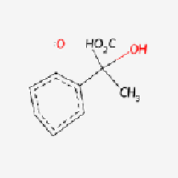 CC(O)(C(=O)O)c1ccccc1.[O]